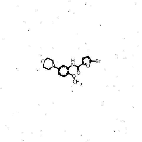 COc1ccc(N2CCOCC2)cc1NC(=O)c1ccc(Br)o1